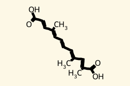 CC(/C=C/C(=O)O)=C\C=C\C=C(C)\C=C(/C)C(=O)O